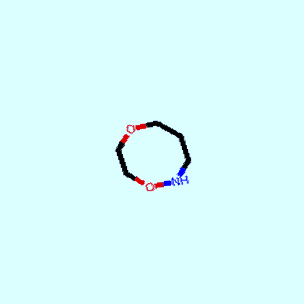 C1CNOCCOC1